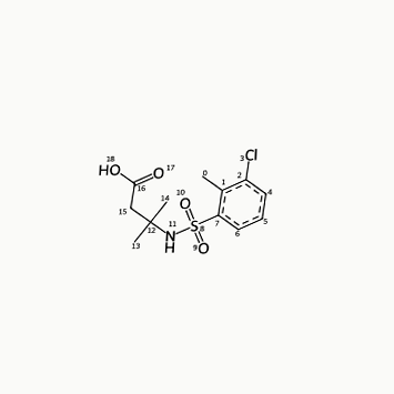 Cc1c(Cl)cccc1S(=O)(=O)NC(C)(C)CC(=O)O